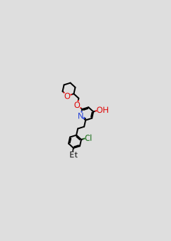 CCc1ccc(CCc2cc(O)cc(OCC3CCCCO3)n2)c(Cl)c1